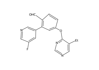 CCc1cncnc1Oc1ccc(C=O)c(-c2cncc(F)c2)c1